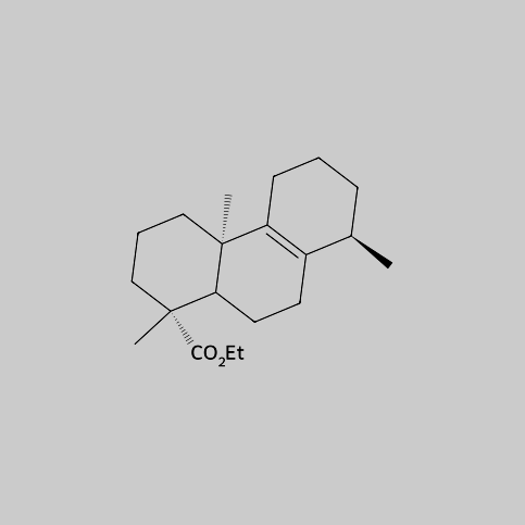 CCOC(=O)[C@]1(C)CCC[C@@]2(C)C3=C(CCC12)[C@H](C)CCC3